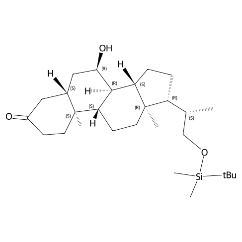 C[C@H](CO[Si](C)(C)C(C)(C)C)[C@H]1CC[C@H]2[C@@H]3[C@H](O)C[C@H]4CC(=O)CC[C@]4(C)[C@H]3CC[C@]12C